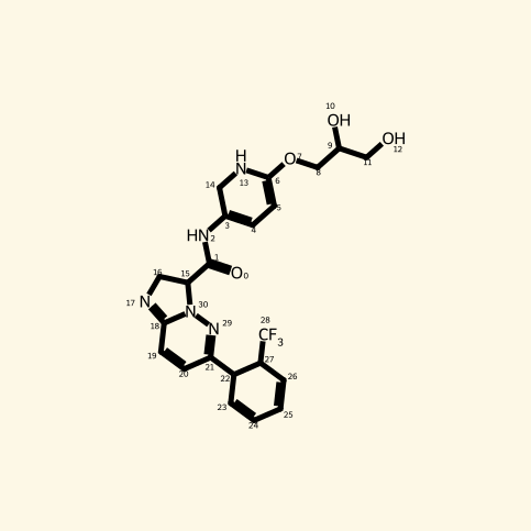 O=C(NC1=CC=C(OCC(O)CO)NC1)C1CN=C2C=CC(C3C=CC=CC3C(F)(F)F)=NN21